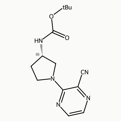 CC(C)(C)OC(=O)N[C@H]1CCN(c2nccnc2C#N)C1